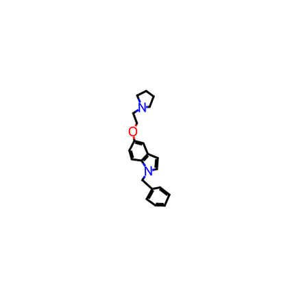 c1ccc(Cn2ccc3cc(OCCN4CCCC4)ccc32)cc1